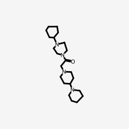 O=C(CN1CCC(N2CCCCC2)CC1)N1CCN(C2CCCCC2)CC1